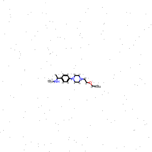 CC(NC(C)(C)C)c1ccc(N2CCN(CCOCC(C)(C)C)CC2)cc1